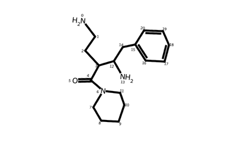 NCCC(C(=O)N1CCCCC1)C(N)Cc1ccccc1